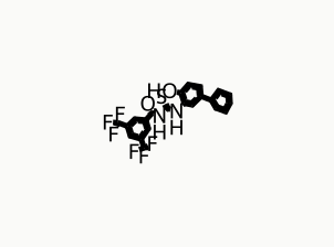 O=C(NC(=S)Nc1cc(-c2ccccc2)ccc1O)c1cc(C(F)(F)F)cc(C(F)(F)F)c1